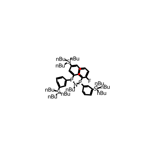 CCCCN(P(c1cccc([Si](CCCC)(CCCC)CCCC)c1)c1cccc([Si](CCCC)(CCCC)CCCC)c1)P(c1cccc([Si](CCCC)(CCCC)CCCC)c1)c1ccccc1F